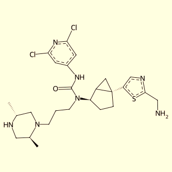 C[C@@H]1CN(CCCN(C(=O)Nc2cc(Cl)nc(Cl)c2)[C@@H]2CC[C@]3(c4cnc(CN)s4)CC23)[C@@H](C)CN1